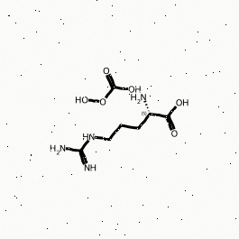 N=C(N)NCCC[C@H](N)C(=O)O.O=C(O)OO